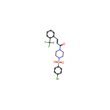 O=C(/C=C/c1ccccc1C(F)(F)F)N1CCN(S(=O)(=O)c2ccc(Br)cc2)CC1